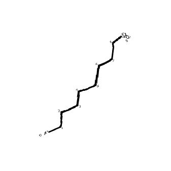 FCCCCCCC[CH2][Sb]